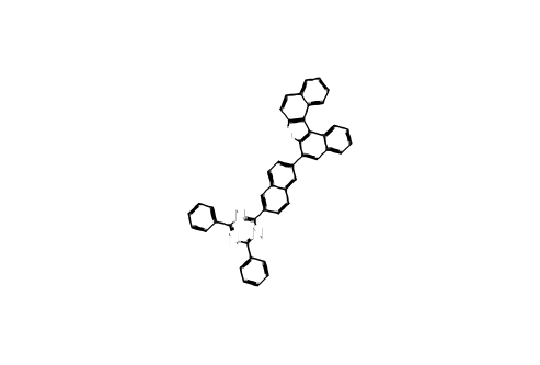 c1ccc(-c2nc(-c3ccccc3)nc(-c3ccc4cc(-c5cc6ccccc6c6c5oc5ccc7ccccc7c56)ccc4c3)n2)cc1